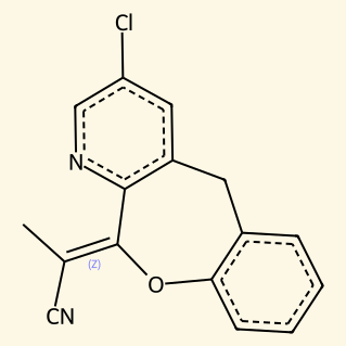 C/C(C#N)=C1/Oc2ccccc2Cc2cc(Cl)cnc21